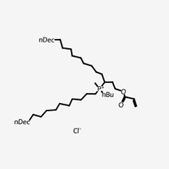 C=CC(=O)OCCC(CCCCCCCCCCCCCCCCCCC)[P+](C)(CCCC)CCCCCCCCCCCCCCCCCCCC.[Cl-]